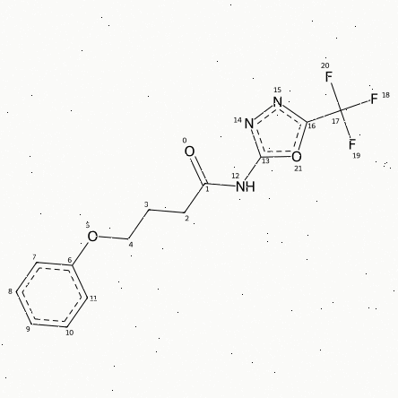 O=C(CCCOc1ccccc1)Nc1nnc(C(F)(F)F)o1